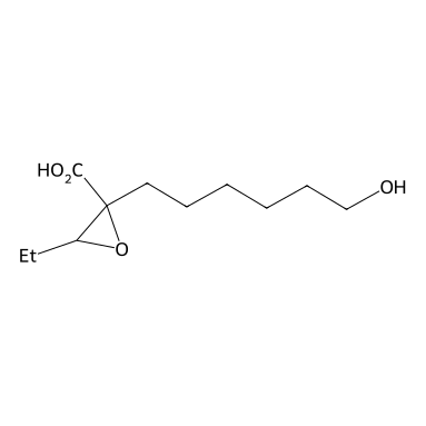 CCC1OC1(CCCCCCO)C(=O)O